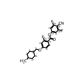 CC1CCC(COc2ccc(C(=O)Oc3cc(F)c(C#N)c(F)c3)c(F)c2)CC1